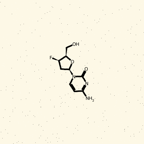 Nc1ccn([C@H]2C[C@@H](F)[C@@H](CO)O2)c(=O)n1